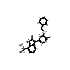 Cc1nnc(-c2c(C)[nH]c3c(B(O)O)cccc23)nc1NCc1ccccc1